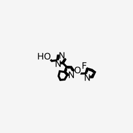 OCc1cncc(-c2cc(OCc3ncccc3F)nc3c2CCCC3)n1